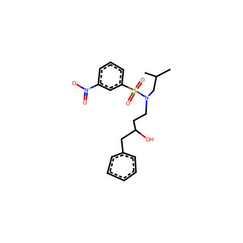 CC(C)CN(CC[C](O)Cc1ccccc1)S(=O)(=O)c1cccc([N+](=O)[O-])c1